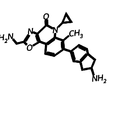 Cc1c(-c2ccc3c(c2)CC(N)C3)ccc2c3oc(CN)nc3c(=O)n(C3CC3)c12